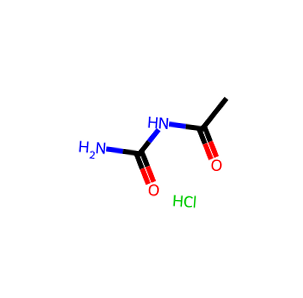 CC(=O)NC(N)=O.Cl